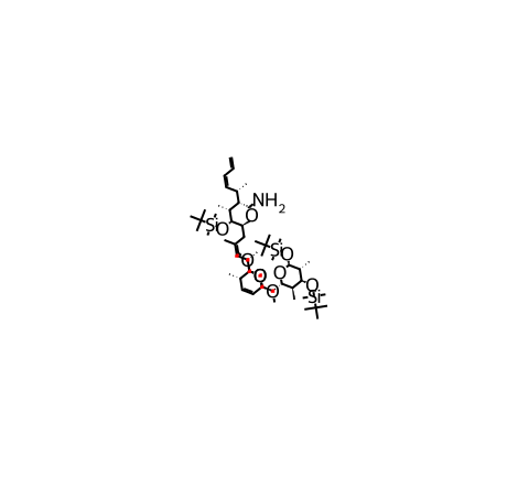 C=C/C=C\[C@H](C)[C@H](C(N)=O)[C@@H](C)[C@H](O[Si](C)(C)C(C)(C)C)[C@@H](C)C/C(C)=C\[C@H](C)[C@@H](OCOC)[C@@H](C)/C=C\[C@H](C[C@@H]1O[C@@H](O[Si](C)(C)C(C)(C)C)[C@H](C)[C@@H](O[Si](C)(C)C(C)(C)C)[C@H]1C)OCOC